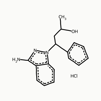 CC(O)CC(c1ccccc1)n1nc(N)c2ccccc21.Cl